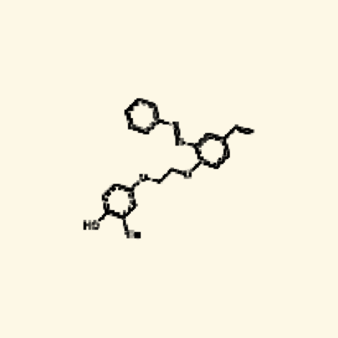 C=Cc1ccc(OCCOc2ccc(O)c(C(C)(C)C)c2)c(N=Nc2ccccc2)c1